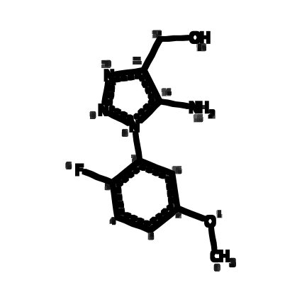 COc1ccc(F)c(-n2nnc(CO)c2N)c1